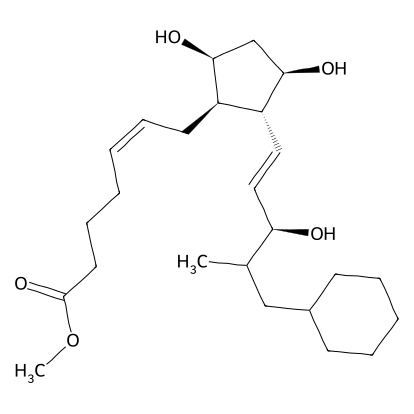 COC(=O)CCC/C=C\C[C@@H]1[C@@H](/C=C/[C@@H](O)C(C)CC2CCCCC2)[C@H](O)C[C@@H]1O